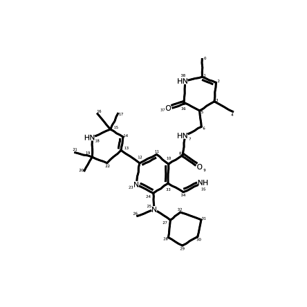 CC1=CC(C)C(CNC(=O)c2cc(C3=CC(C)(C)NC(C)(C)C3)nc(N(C)C3CCCCC3)c2C=N)C(=O)N1